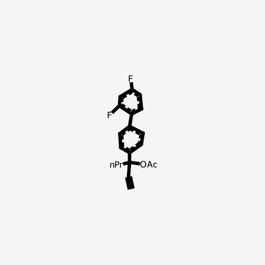 C#CC(CCC)(OC(C)=O)c1ccc(-c2ccc(F)cc2F)cc1